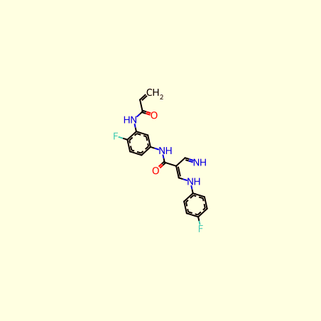 C=CC(=O)Nc1cc(NC(=O)/C(C=N)=C/Nc2ccc(F)cc2)ccc1F